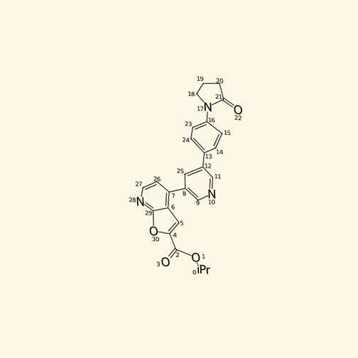 CC(C)OC(=O)c1cc2c(-c3cncc(-c4ccc(N5CCCC5=O)cc4)c3)ccnc2o1